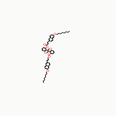 CCCCCCCCOc1ccc2cc(/C=C/COOc3cccc4c3C3(CO4)COc4cccc(OC(=O)/C=C/c5ccc6cc(OCCCCCCCC)ccc6c5)c43)ccc2c1